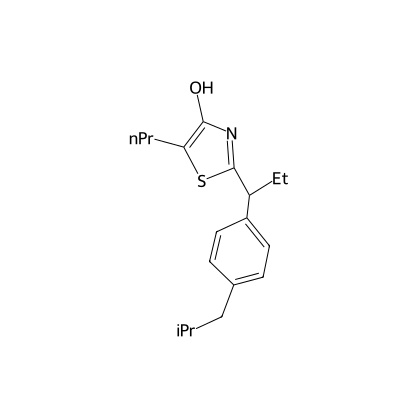 CCCc1sc(C(CC)c2ccc(CC(C)C)cc2)nc1O